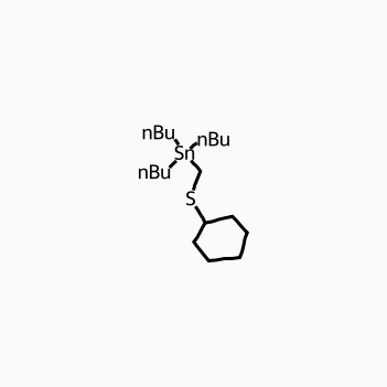 CCC[CH2][Sn]([CH2]CCC)([CH2]CCC)[CH2]SC1CCCCC1